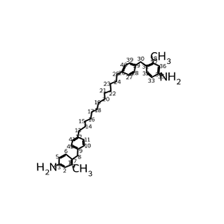 Cc1cc(N)ccc1Cc1ccc(CCCCCCCCCCCCCc2ccc(Cc3ccc(N)cc3C)cc2)cc1